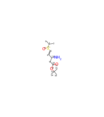 CC(C)[S+]([O-])/C=C/C(N)CC(=O)OC(C)(C)C